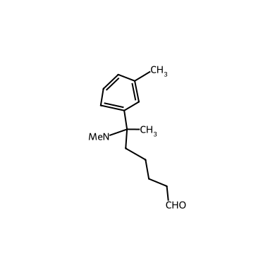 CNC(C)(CCCCC=O)c1cccc(C)c1